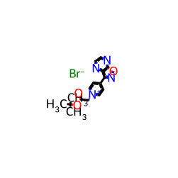 CC(C)(C)OC(=O)C[n+]1ccc(-c2noc3nccnc23)cc1.[Br-]